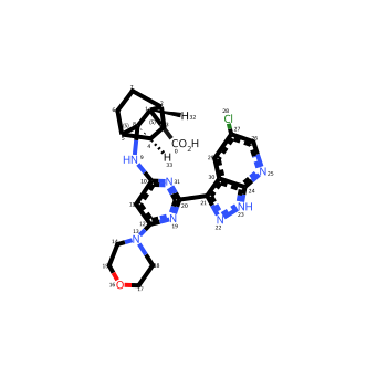 O=C(O)[C@H]1C2CCC(CC2)[C@@H]1Nc1cc(N2CCOCC2)nc(-c2n[nH]c3ncc(Cl)cc23)n1